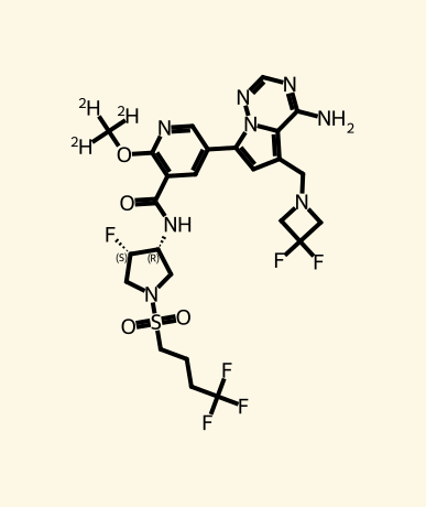 [2H]C([2H])([2H])Oc1ncc(-c2cc(CN3CC(F)(F)C3)c3c(N)ncnn23)cc1C(=O)N[C@@H]1CN(S(=O)(=O)CCCC(F)(F)F)C[C@@H]1F